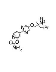 CC(C)CC(C)(N)COc1cnc(-c2ccnc(OC(N)=O)c2)nc1